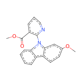 COC(=O)c1cccnc1-n1c2ccccc2c2ccc(OC)cc21